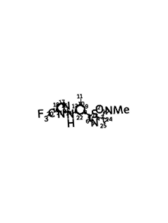 CNC(=O)C1(c2ncc(-c3cc(C)cc(Nc4nccc(C(F)(F)F)n4)c3)s2)CC1